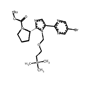 CC(C)(C)OC(=O)N1CCC[C@H]1c1ncc(-c2ncc(Br)cn2)n1COCC[Si](C)(C)C